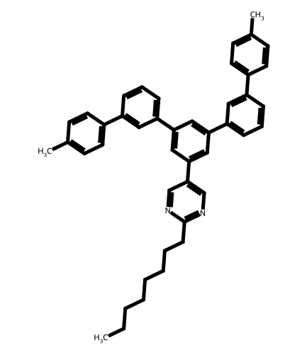 CCCCCCCCc1ncc(-c2cc(-c3cccc(-c4ccc(C)cc4)c3)cc(-c3cccc(-c4ccc(C)cc4)c3)c2)cn1